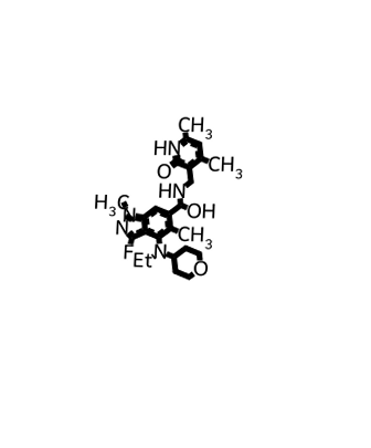 CCN(c1c(C)c(C(O)NCc2c(C)cc(C)[nH]c2=O)cc2c1c(F)nn2C)C1CCOCC1